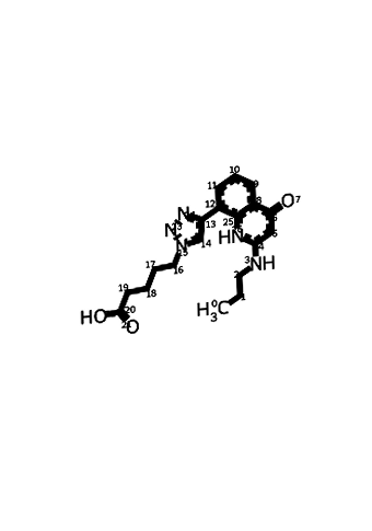 CCCNc1cc(=O)c2cccc(-c3cn(CCCCC(=O)O)nn3)c2[nH]1